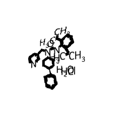 CC(C)c1cccc(C(C)C)c1NC(=O)N(Cc1cccnc1)[C@H]1CC[C@H](c2ccccc2)CC1.Cl.O